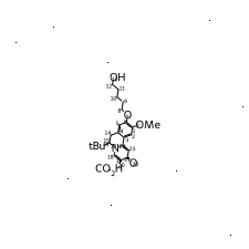 COc1cc2c(cc1OCCCCCO)CC(C(C)(C)C)n1cc(C(=O)O)c(=O)cc1-2